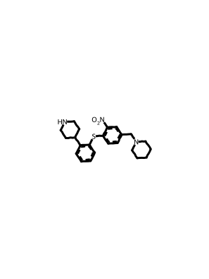 O=[N+]([O-])c1cc(CN2CCCCC2)ccc1Sc1ccccc1C1CCNCC1